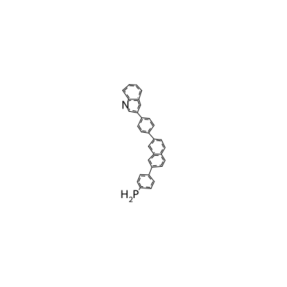 Pc1ccc(-c2ccc3ccc(-c4ccc(-c5cnc6ccccc6c5)cc4)cc3c2)cc1